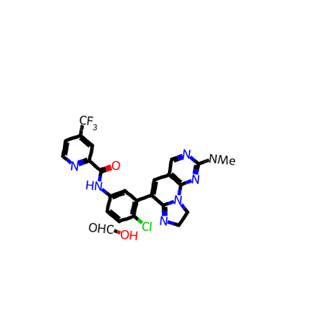 CNc1ncc2c(n1)N1CCN=C1C(c1cc(NC(=O)c3cc(C(F)(F)F)ccn3)ccc1Cl)=C2.O=CO